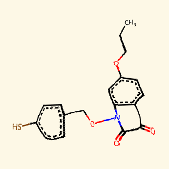 CCCOc1ccc2c(c1)N(OCc1ccc(S)cc1)C(=O)C2=O